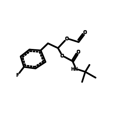 CC(C)(C)NC(=O)OC(Cc1ccc(F)cc1)OC=O